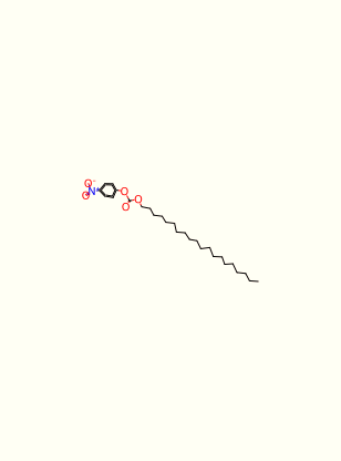 CCCCCCCCCCCCCCCCCCCCOC(=O)Oc1ccc([N+](=O)[O-])cc1